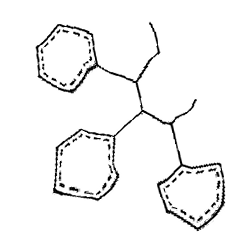 CCC([C](c1ccccc1)C(C)c1ccccc1)c1ccccc1